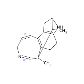 CC1C2CC3=C(CCC4=C3/C=C\C/N=C\C41C)N2